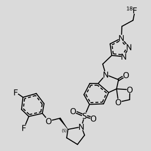 O=C1N(Cc2cn(CC[18F])nn2)c2ccc(S(=O)(=O)N3CCC[C@H]3COc3ccc(F)cc3F)cc2C12OCO2